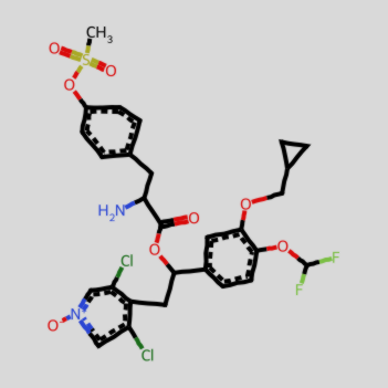 CS(=O)(=O)Oc1ccc(CC(N)C(=O)OC(Cc2c(Cl)c[n+]([O-])cc2Cl)c2ccc(OC(F)F)c(OCC3CC3)c2)cc1